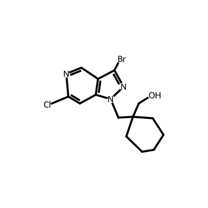 OCC1(Cn2nc(Br)c3cnc(Cl)cc32)CCCCC1